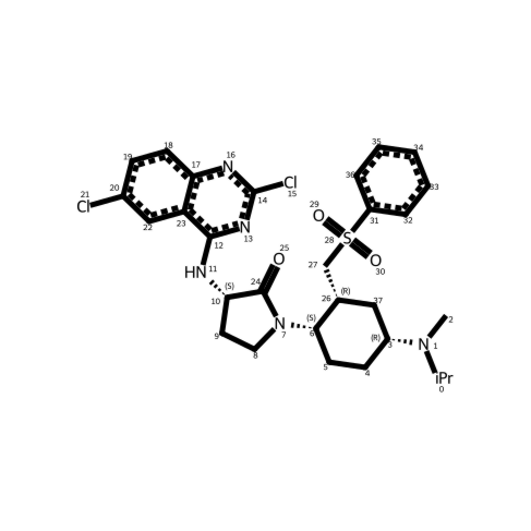 CC(C)N(C)[C@@H]1CC[C@H](N2CC[C@H](Nc3nc(Cl)nc4ccc(Cl)cc34)C2=O)[C@H](CS(=O)(=O)c2ccccc2)C1